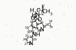 CC(C)(F)CNS(=O)(=O)c1cc2c(c3cnc(C4CC4)cc13)C(Nc1cccnc1)CC2